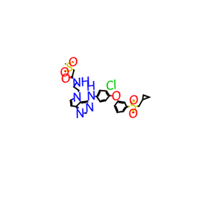 CS(=O)(=O)CC(=O)NCCn1ccc2ncnc(Nc3ccc(Oc4cccc(S(=O)(=O)CC5CC5)c4)c(Cl)c3)c21